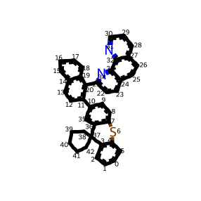 c1ccc2c(c1)Sc1ccc(-c3ccc4ccccc4c3-c3ccc4ccc5cccnc5c4n3)cc1C21CCCCC1